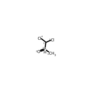 C[PH](=O)C(Cl)Cl